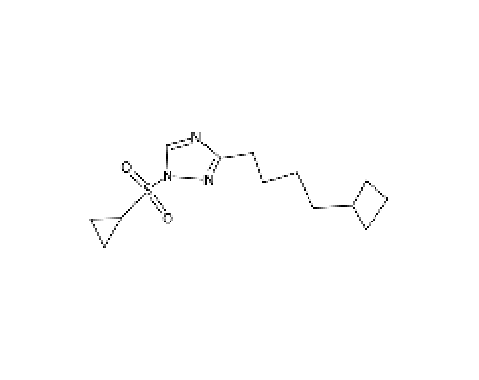 O=S(=O)(C1CC1)n1cnc(CCCCC2CCC2)n1